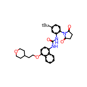 CC(C)(C)c1ccc(N2C(=O)CCC2=O)c(NC(=O)Nc2ccc(OCCC3CCOCC3)c3ccccc23)c1